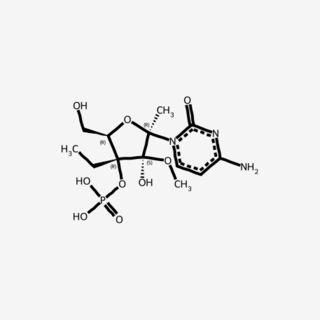 CC[C@@]1(OP(=O)(O)O)[C@@H](CO)O[C@@](C)(n2ccc(N)nc2=O)[C@@]1(O)OC